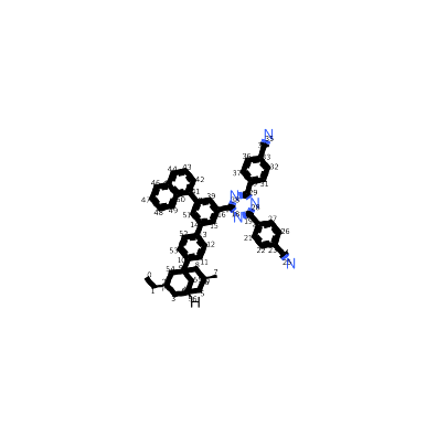 CC[C@@H]1C[C@@H]2C[C@H](C)CC(c3ccc(-c4cc(-c5nc(-c6ccc(C#N)cc6)nc(-c6ccc(C#N)cc6)n5)cc(-c5cccc6ccccc56)c4)cc3)(C1)C2